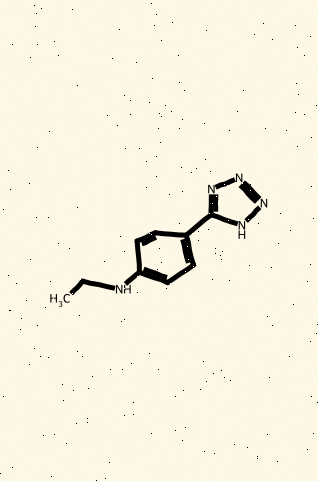 CCNc1ccc(-c2nnn[nH]2)cc1